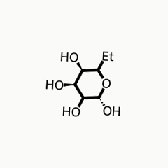 CCC1O[C@H](O)C(O)[C@@H](O)[C@H]1O